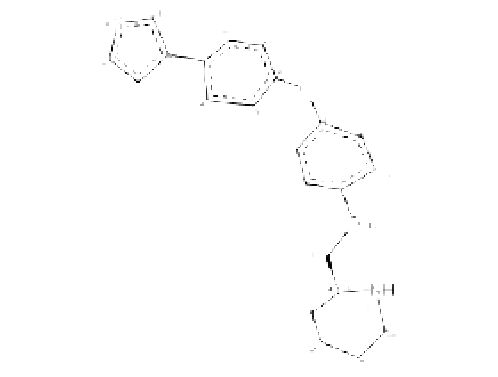 c1cc(-c2ccc(Oc3ccc(OC[C@@H]4CCCCN4)cc3)cc2)cs1